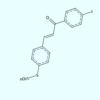 CCCCCCCCSc1ccc(C=CC(=O)c2ccc(I)cc2)cc1